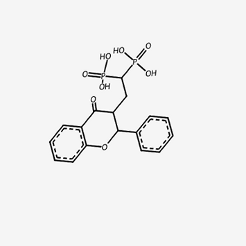 O=C1c2ccccc2OC(c2ccccc2)C1CC(P(=O)(O)O)P(=O)(O)O